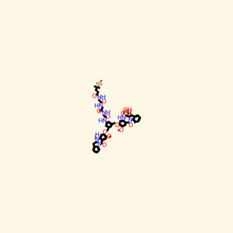 COc1cc(C(=O)N2CCc3ccccc32)c(NI)cc1OCc1cc(COc2cc3c(cc2OC)C(=O)N2c4ccccc4C[C@H]2C(S(=O)(=O)O)N3)cc(NC(=O)CNC(=O)CNC(=O)CNC(=O)CCC(C)(C)SSC)c1